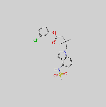 CC(C)(CC(=O)Oc1cccc(Cl)c1)Cn1ccc2c(NS(C)(=O)=O)cccc21